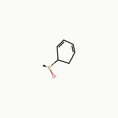 C[S@+]([O-])C1C=CC=CC1